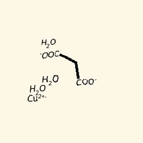 O.O.O.O=C([O-])CC(=O)[O-].[Cu+2]